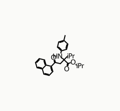 Cc1ccc(NC(CC(=O)c2cccc3ccccc23)(C(=O)OC(C)C)C(C)C)cc1